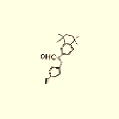 CC1(C)CCC(C)(C)c2cc(C(C=O)Cc3ccc(F)cc3)ccc21